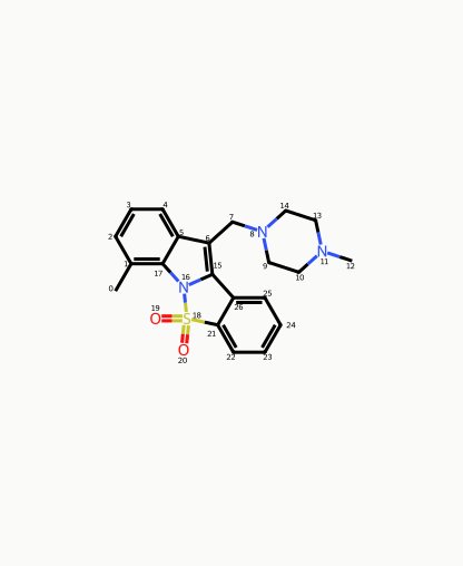 Cc1cccc2c(CN3CCN(C)CC3)c3n(c12)S(=O)(=O)c1ccccc1-3